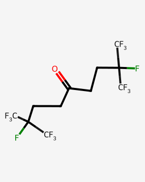 O=C(CCC(F)(C(F)(F)F)C(F)(F)F)CCC(F)(C(F)(F)F)C(F)(F)F